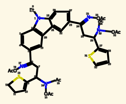 CCn1c2ccc(/C(CC(C3=CCCS3)N(OC(C)=O)C(C)=O)=N/OC(C)=O)cc2c2cc(/C(CC(c3cccs3)N(OC(C)=O)C(C)=O)=N/OC(C)=O)ccc21